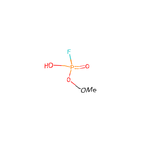 COOP(=O)(O)F